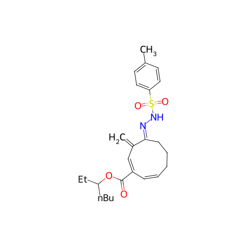 C=C1/C=C(C(=O)OC(CC)CCCC)\C=C/CCCC1=NNS(=O)(=O)c1ccc(C)cc1